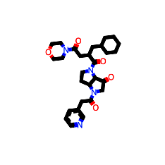 O=C1CN(C(=O)Cc2cccnc2)C2CCN(C(=O)C(CC(=O)N3CCOCC3)CC3CCCCC3)C12